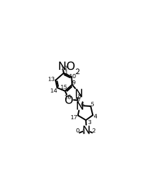 CN(C)C1CCN(c2nc3cc([N+](=O)[O-])ccc3o2)C1